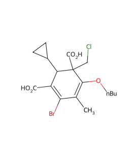 CCCCOC1=C(C)C(Br)=C(C(=O)O)C(C2CC2)C1(CCl)C(=O)O